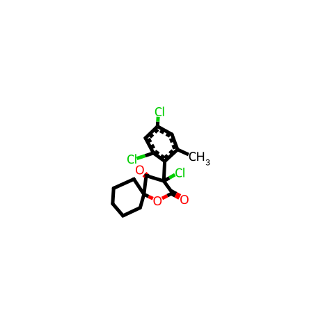 Cc1cc(Cl)cc(Cl)c1C1(Cl)C(=O)OC2(CCCCC2)C1=O